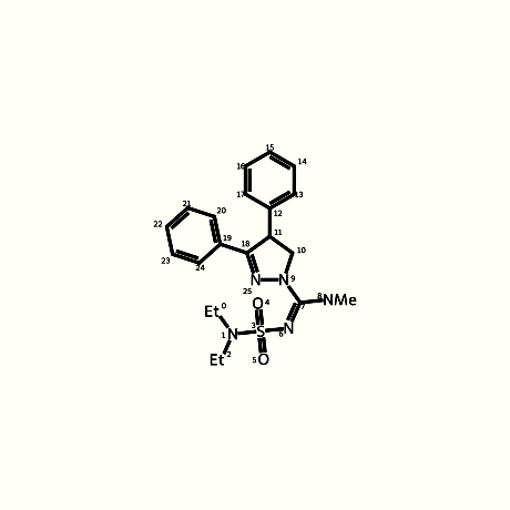 CCN(CC)S(=O)(=O)/N=C(/NC)N1CC(c2ccccc2)C(c2ccccc2)=N1